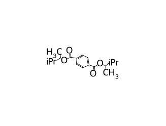 CC(C)C(C)OC(=O)c1ccc(C(=O)OC(C)C(C)C)cc1